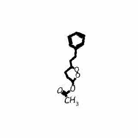 CC(=O)OC1CCC(CCc2ccccc2)OO1